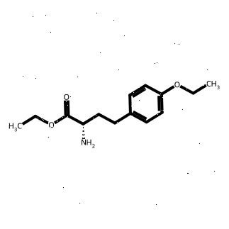 CCOC(=O)[C@@H](N)CCc1ccc(OCC)cc1